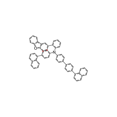 c1ccc(N(c2ccc(-c3ccc(-c4cccc5ccccc45)cc3)cc2)c2ccc(-c3cccc4ccccc34)cc2)c(-c2ccc3oc4ccccc4c3c2)c1